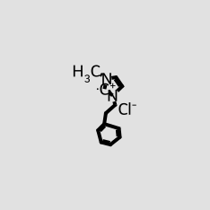 CN1[C+]N(CCc2ccccc2)C=C1.[Cl-]